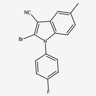 Cc1ccc2c(c1)c(C#N)c(Br)n2-c1ccc(F)cc1